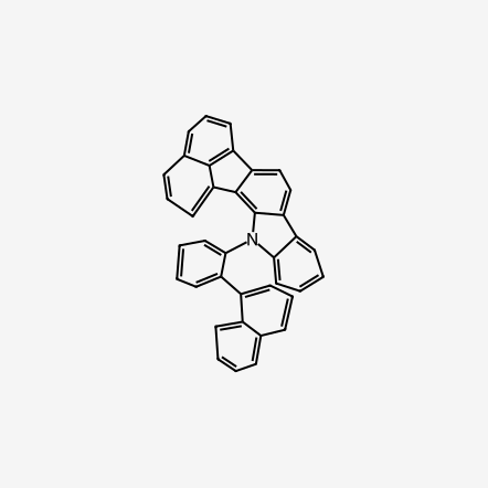 c1ccc(-n2c3ccccc3c3ccc4c(c32)-c2cccc3cccc-4c23)c(-c2cccc3ccccc23)c1